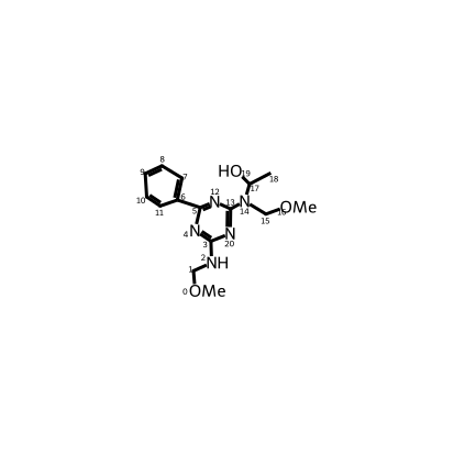 COCNc1nc(-c2ccccc2)nc(N(COC)C(C)O)n1